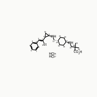 CC/C(=C\c1ccccc1)C1CC1NC[C@H]1CC[C@H](NCC(C)(C)C(=O)O)CC1.Cl.Cl